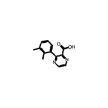 Cc1cccc(-c2nccnc2C(=O)O)c1C